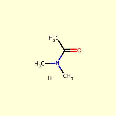 CC(=O)N(C)C.[Li]